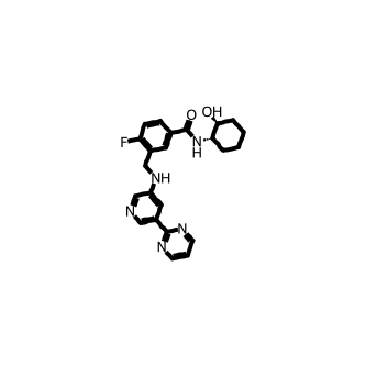 O=C(N[C@H]1CCCC[C@@H]1O)c1ccc(F)c(CNc2cncc(-c3ncccn3)c2)c1